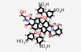 CC(C)c1cccc(C(C)C)c1N1C(=O)c2cc(Oc3ccc(S(=O)(=O)O)cc3)c3c4c(Oc5ccc(S(=O)(=O)O)cc5)cc5c6c(cc(Oc7ccc(S(=O)(=O)O)cc7)c(c7c(Oc8ccc(S(=O)(=O)O)cc8)cc(c2c37)C1=O)c64)C(=O)N(CCCO)C5=O